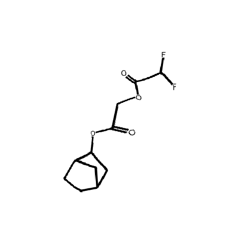 O=C(COC(=O)C(F)F)OC1CC2CCC1C2